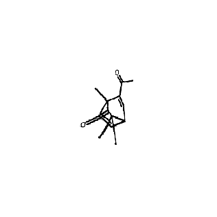 CC(=O)C1=CC2C=CC1(C)C(=O)C2(C)C